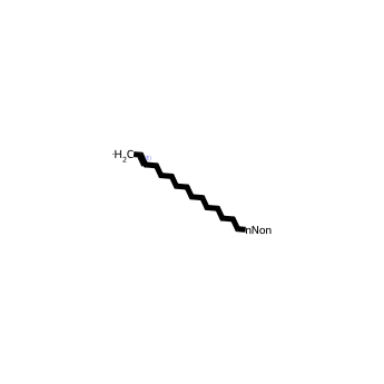 [CH2]/C=C/CCCCCCCCCCCCCCCCCCCC[CH2]